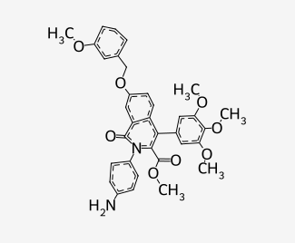 COC(=O)c1c(-c2cc(OC)c(OC)c(OC)c2)c2ccc(OCc3cccc(OC)c3)cc2c(=O)n1-c1ccc(N)cc1